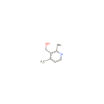 CC(C)(C)c1nccc(C(F)(F)F)c1CO